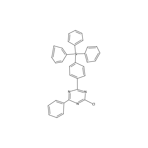 Clc1nc(-c2ccccc2)nc(-c2ccc([Si](c3ccccc3)(c3ccccc3)c3ccccc3)cc2)n1